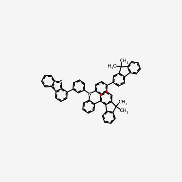 CC1(C)c2ccccc2-c2ccc(-c3ccc(N(c4cccc(-c5cccc6c5sc5ccccc56)c4)c4ccccc4-c4cccc5c4-c4ccccc4C5(C)C)cc3)cc21